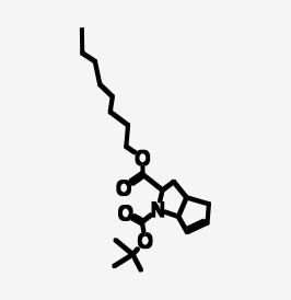 CCCCCCCCOC(=O)C1CC2CC=CC2N1C(=O)OC(C)(C)C